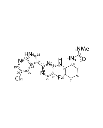 CNC(=O)NC1CCCC[C@@H]1Nc1nc(-c2c[nH]c3ncc(Cl)cc23)ncc1F